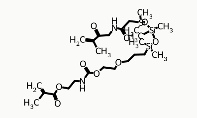 C=C(C)C(=O)CNC(=O)C[Si](C)(C)O[Si](C)(C)O[Si](C)(C)CCCOCCOC(=O)NCCOC(=O)C(=C)C